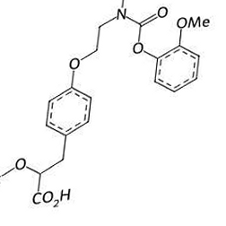 CCCCCCN(CCOc1ccc(CC(OCC)C(=O)O)cc1)C(=O)Oc1ccccc1OC